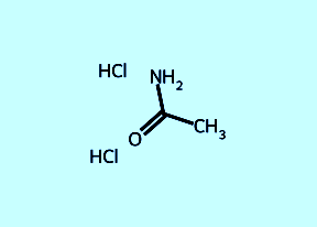 CC(N)=O.Cl.Cl